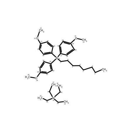 CCCCCCCC[B-](c1ccc(OC)cc1)(c1ccc(OC)cc1)c1ccc(OC)cc1.CC[N+](CC)(CC)CC